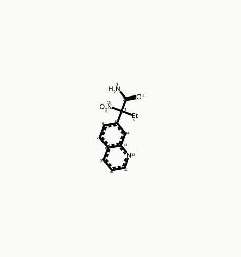 CCC(C(N)=O)(c1ccc2cccnc2c1)[N+](=O)[O-]